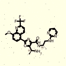 COc1ccc(-c2nc(C(=O)N[C@@H](C)CNc3ncccn3)c([C@H](C)N)o2)c2ccc(C(F)(F)F)nc12